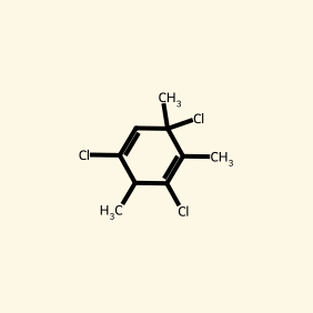 CC1=C(Cl)C(C)C(Cl)=CC1(C)Cl